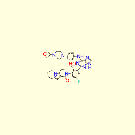 O=C1c2cc3n(c2CCN1c1cc(F)cc(-c2nc(Nc4ccc(N5CCN(C6COC6)CC5)cc4)c4nc[nH]c4n2)c1CO)CCCC3